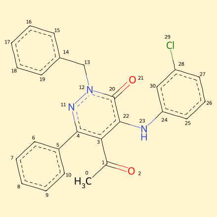 CC(=O)c1c(-c2ccccc2)nn(Cc2ccccc2)c(=O)c1Nc1cccc(Cl)c1